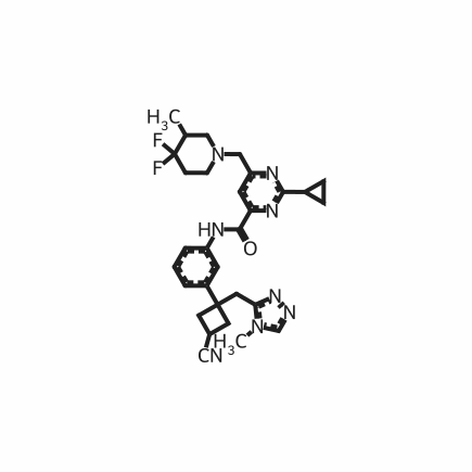 CC1CN(Cc2cc(C(=O)Nc3cccc(C4(Cc5nncn5C)CC(C#N)C4)c3)nc(C3CC3)n2)CCC1(F)F